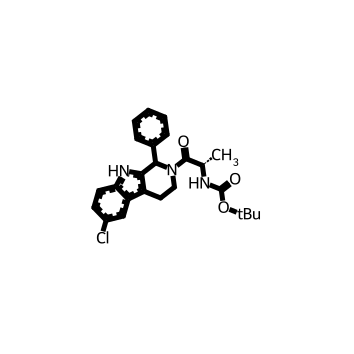 C[C@H](NC(=O)OC(C)(C)C)C(=O)N1CCc2c([nH]c3ccc(Cl)cc23)C1c1ccccc1